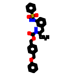 O=C(NC(Cc1cccc(NS(=O)(=O)c2ccccc2)c1)C(=O)O)OCc1ccc(COc2ccccc2)cc1